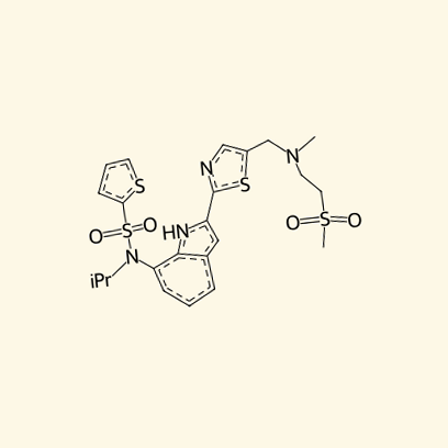 CC(C)N(c1cccc2cc(-c3ncc(CN(C)CCS(C)(=O)=O)s3)[nH]c12)S(=O)(=O)c1cccs1